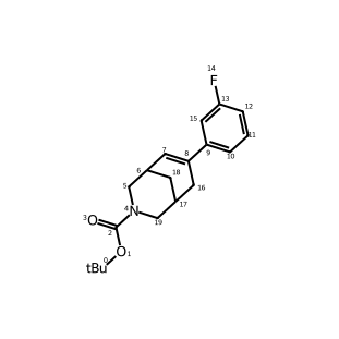 CC(C)(C)OC(=O)N1CC2C=C(c3cccc(F)c3)CC(C2)C1